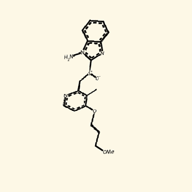 COCCCOc1ccnc(C[S+]([O-])c2nc3ccccc3n2N)c1C